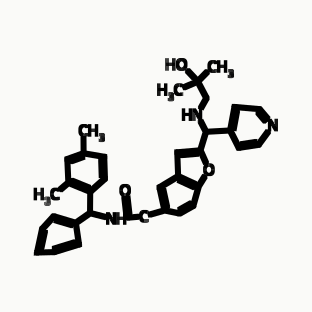 Cc1ccc(C(NC(=O)Cc2ccc3oc(C(NCC(C)(C)O)c4ccncc4)cc3c2)c2ccccc2)c(C)c1